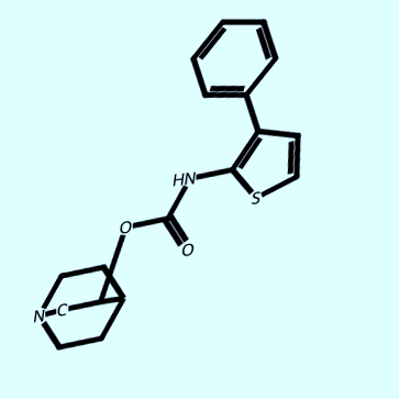 O=C(Nc1sccc1-c1ccccc1)OC1CN2CCC1CC2